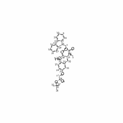 CN(C(=O)OCC1c2ccccc2-c2ccccc21)[C@@H](Cc1cccc(OCC(=O)OC(C)(C)C)c1)C(=O)O